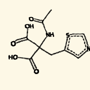 CC(=O)NC(Cc1cncs1)(C(=O)O)C(=O)O